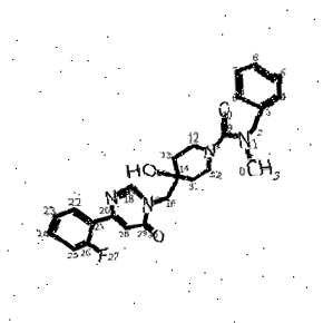 CN(Cc1ccccc1)C(=O)N1CCC(O)(Cn2cnc(-c3ccccc3F)cc2=O)CC1